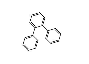 [c]1ccc(-c2cc[c]cc2-c2ccccc2)cc1